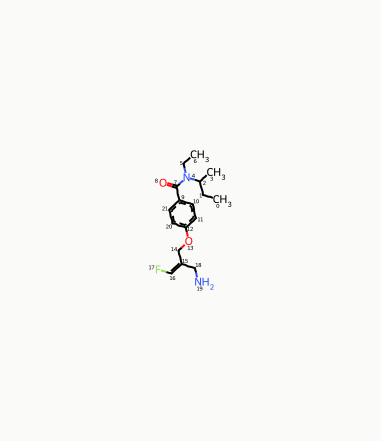 CCC(C)N(CC)C(=O)c1ccc(OC/C(=C\F)CN)cc1